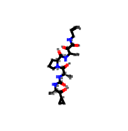 C=CCNC(=O)C(=O)C(CCC)NC(=O)[C@@H]1CCCN1C(=O)[C@@H](NC(=O)N[C@H](C(=O)C1CC1)C(C)C)C(C)(C)C